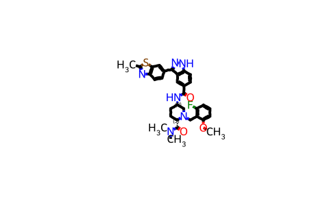 COc1cccc(F)c1CN1C[C@H](NC(=O)c2ccc3[nH]nc(-c4ccc5nc(C)sc5c4)c3c2)CC[C@H]1C(=O)N(C)C